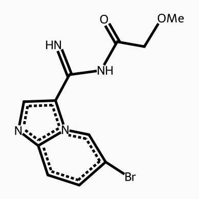 COCC(=O)NC(=N)c1cnc2ccc(Br)cn12